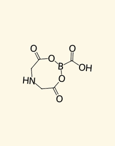 O=C1CNCC(=O)OB(C(=O)O)O1